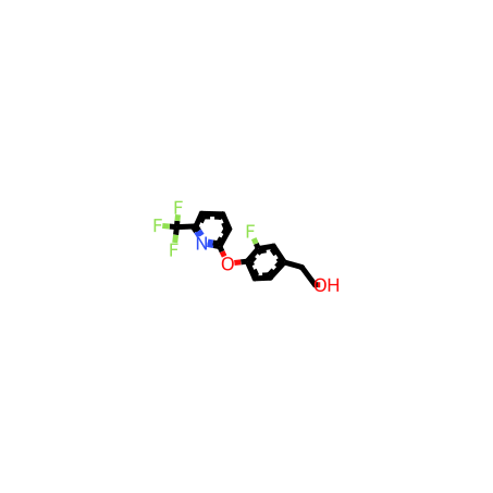 OCCc1ccc(Oc2cccc(C(F)(F)F)n2)c(F)c1